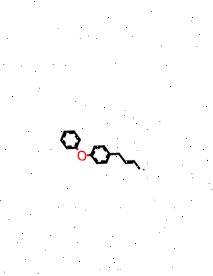 [CH2]C=CCc1ccc(Oc2ccccc2)cc1